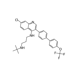 CC(C)(C)NCCCNc1c(-c2ccc(-c3ccc(OC(F)(F)F)cc3)cc2)cnc2cc(Cl)ccc12